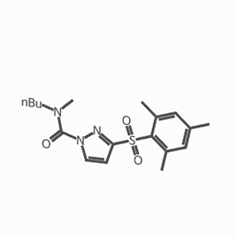 CCCCN(C)C(=O)n1ccc(S(=O)(=O)c2c(C)cc(C)cc2C)n1